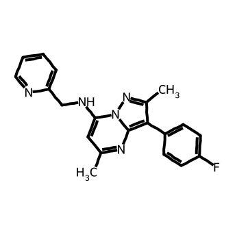 Cc1cc(NCc2ccccn2)n2nc(C)c(-c3ccc(F)cc3)c2n1